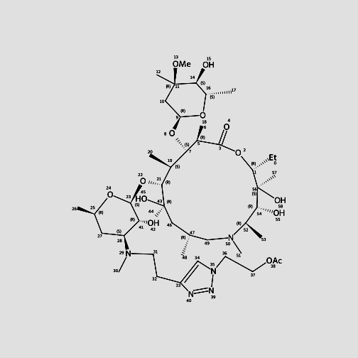 CC[C@H]1OC(=O)[C@H](C)[C@@H](O[C@H]2C[C@@](C)(OC)[C@@H](O)[C@H](C)O2)[C@H](C)[C@@H](O[C@@H]2O[C@H](C)C[C@H](N(C)CCc3cn(CCOC(C)=O)nn3)[C@H]2O)[C@](C)(O)C[C@@H](C)CN(C)[C@H](C)[C@@H](O)[C@]1(C)O